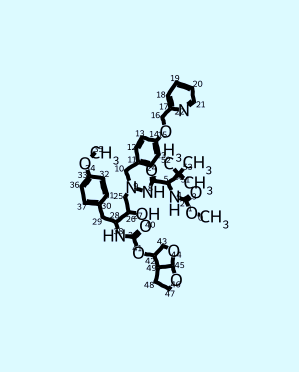 COC(=O)NC(C(=O)NN(Cc1ccc(OCc2ccccn2)cc1)CC(O)C(Cc1ccc(OC)cc1)NC(=O)OC1COC2OCCC12)C(C)(C)C